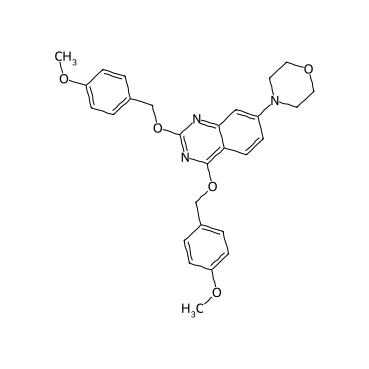 COc1ccc(COc2nc(OCc3ccc(OC)cc3)c3ccc(N4CCOCC4)cc3n2)cc1